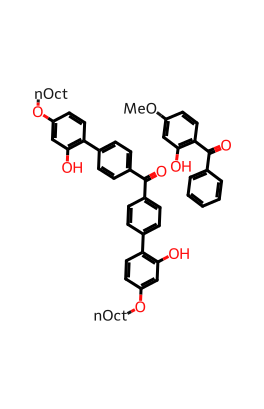 CCCCCCCCOc1ccc(-c2ccc(C(=O)c3ccc(-c4ccc(OCCCCCCCC)cc4O)cc3)cc2)c(O)c1.COc1ccc(C(=O)c2ccccc2)c(O)c1